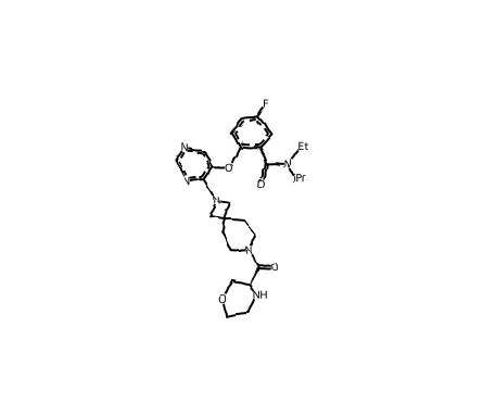 CCN(C(=O)c1cc(F)ccc1Oc1cncnc1N1CC2(CCN(C(=O)[C@@H]3COCCN3)CC2)C1)C(C)C